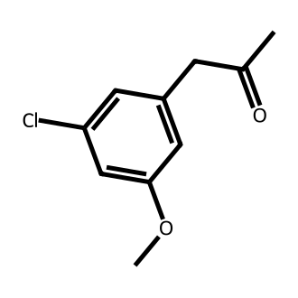 COc1cc(Cl)cc(CC(C)=O)c1